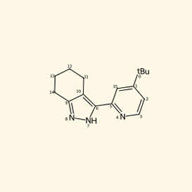 CC(C)(C)c1ccnc(-c2[nH]nc3c2CCCC3)c1